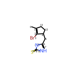 CC1=C(Br)C(CC2=CNC(=S)[N]2)CC1